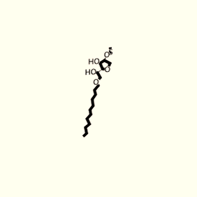 CCCCCCCCCCCCOCC(O)[C@H]1OC[C@@H](OSC)C1O